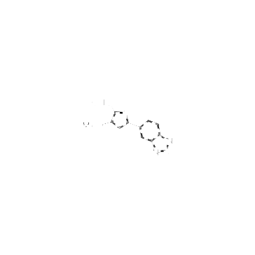 COc1cc(-c2ccc3nsnc3c2)sc1C=O